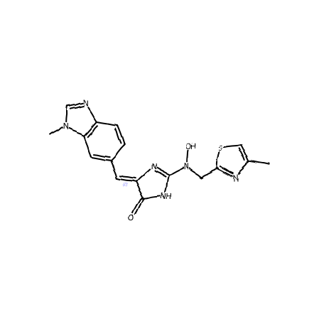 Cc1csc(CN(O)C2=N/C(=C\c3ccc4ncn(C)c4c3)C(=O)N2)n1